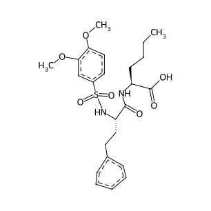 CCCC[C@H](NC(=O)[C@H](CCc1ccccc1)NS(=O)(=O)c1ccc(OC)c(OC)c1)C(=O)O